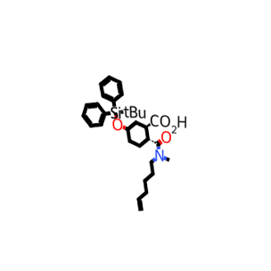 C=CCCCCN(C)C(=O)[C@@H]1CCC(O[Si](c2ccccc2)(c2ccccc2)C(C)(C)C)C[C@H]1C(=O)O